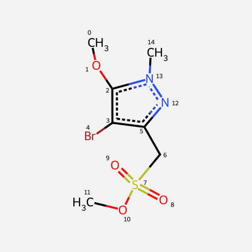 COc1c(Br)c(CS(=O)(=O)OC)nn1C